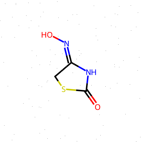 O=C1N/C(=N/O)CS1